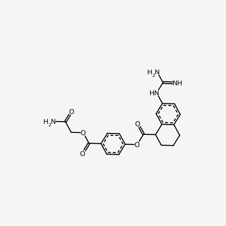 N=C(N)Nc1ccc2c(c1)C(C(=O)Oc1ccc(C(=O)OCC(N)=O)cc1)CCC2